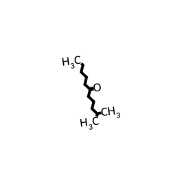 CCCCCC(=O)CCCC(C)C